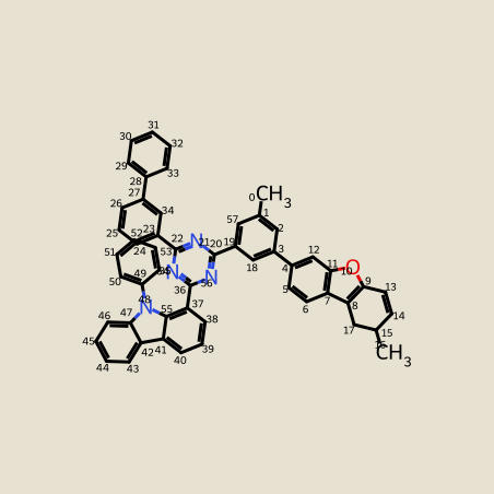 Cc1cc(-c2ccc3c4c(oc3c2)C=CC(C)C4)cc(-c2nc(-c3cccc(-c4ccccc4)c3)nc(-c3cccc4c5ccccc5n(-c5ccccc5)c34)n2)c1